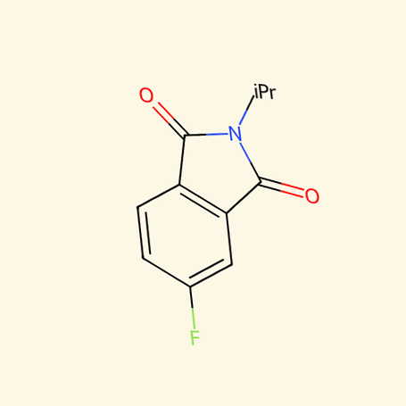 CC(C)N1C(=O)c2ccc(F)cc2C1=O